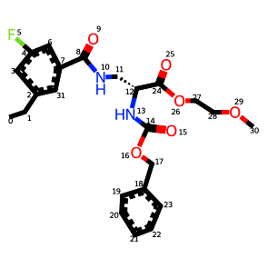 CCc1cc(F)cc(C(=O)NC[C@@H](NC(=O)OCc2ccccc2)C(=O)OCCOC)c1